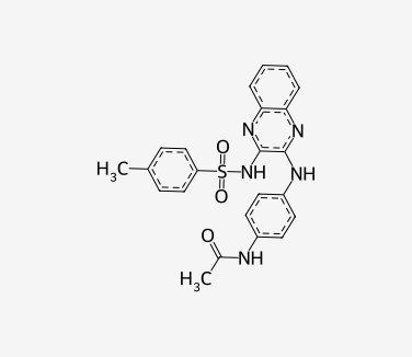 CC(=O)Nc1ccc(Nc2nc3ccccc3nc2NS(=O)(=O)c2ccc(C)cc2)cc1